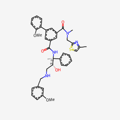 COc1cccc(CNC[C@@H](O)[C@@](C)(NC(=O)c2cc(C(=O)N(C)Cc3nc(C)cs3)cc(-c3ccccc3OC)c2)c2ccccc2)c1